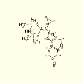 CC1(C)CC(N(c2nc3c(s2)-c2ccc(Cl)cc2OC3)C2CC2)CC(C)(C)N1